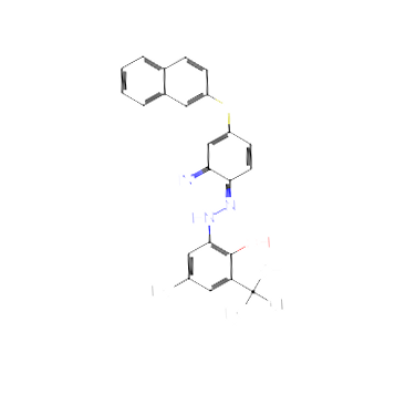 Cc1cc(N/N=C2/C=CC(Sc3ccc4ccccc4c3)=CC2=N)c(O)c(C(C)(C)C)c1